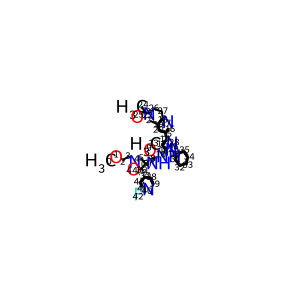 COCCN1C[C@@H](NC(=O)Nc2c(C)c(-c3cnc4c(c3)CN(C(C)=O)CC4)nn2-c2ccccc2)[C@H](c2ccnc(F)c2)O1